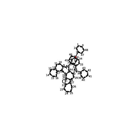 c1ccc(-c2ccc(-n3c4ccc5ccccc5c4c4c5oc6ccccc6c5cc(N(c5ccccc5)c5ccccc5)c43)cc2)cc1